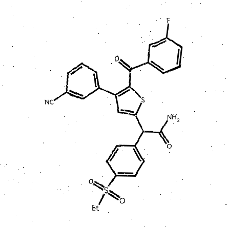 CCS(=O)(=O)c1ccc(C(C(N)=O)c2cc(-c3cccc(C#N)c3)c(C(=O)c3cccc(F)c3)s2)cc1